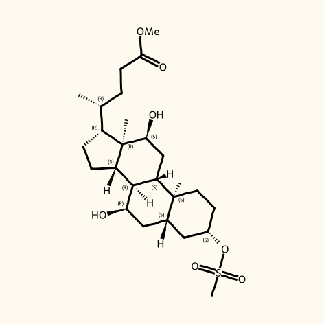 COC(=O)CC[C@@H](C)[C@H]1CC[C@H]2[C@@H]3[C@H](O)C[C@H]4C[C@@H](OS(C)(=O)=O)CC[C@]4(C)[C@H]3C[C@H](O)[C@]12C